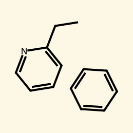 CCc1ccccn1.c1ccccc1